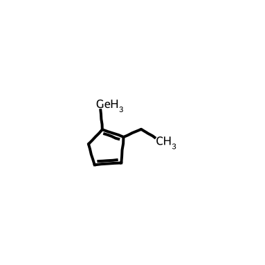 CCC1=[C]([GeH3])CC=C1